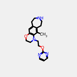 Cc1c2c(cc3c1N(CCOc1ncccn1)CCO3)CCNCC2